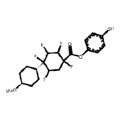 CO[C@H]1CC[C@H](C2(F)C(F)[CH]C(F)(C(=O)Oc3ccc(S)cc3)C(F)C2F)CC1